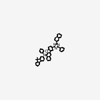 CC1(C)c2ccccc2-c2ccc(N(c3ccccc3)c3c4ccccc4cc4c3oc3ccc(-c5nc(-c6ccccc6)nc(-c6ccc7ccccc7c6)n5)cc34)cc21